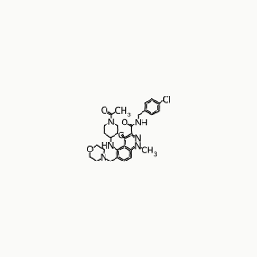 CC(=O)N1CCC(Nc2c(CN3CCOCC3)ccc3c2c(=O)c(C(=O)NCc2ccc(Cl)cc2)nn3C)CC1